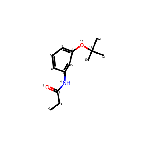 CCC(=O)Nc1cccc(OC(C)(C)C)c1